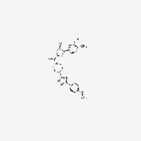 COc1ccc(-c2noc(C3CCN(C(=O)[C@H]4CC(=O)N(c5ccc(C)c(C)c5)C4)CC3)n2)cc1